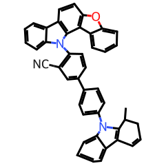 CC1CC=Cc2c1n(-c1ccc(-c3ccc(-n4c5ccccc5c5ccc6oc7ccccc7c6c54)c(C#N)c3)cc1)c1ccccc21